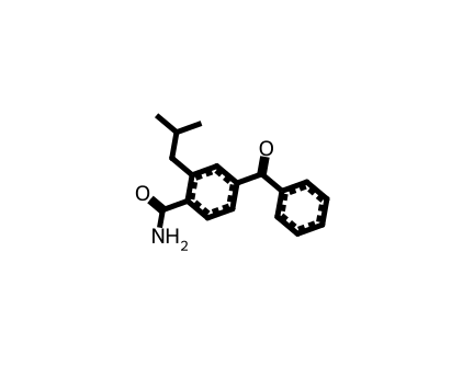 CC(C)Cc1cc(C(=O)c2ccccc2)ccc1C(N)=O